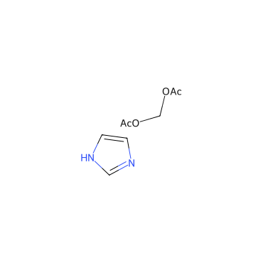 CC(=O)OCOC(C)=O.c1c[nH]cn1